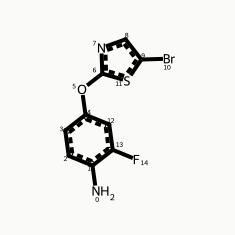 Nc1ccc(Oc2ncc(Br)s2)cc1F